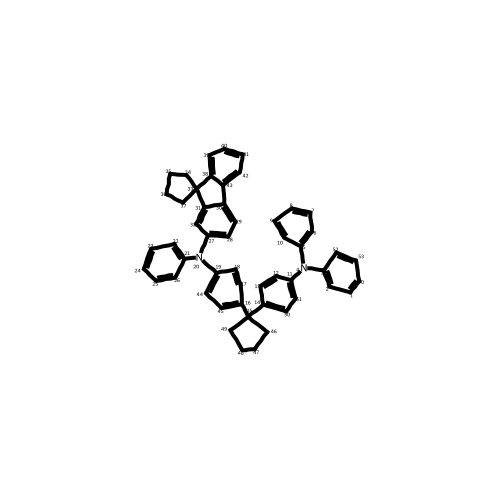 c1ccc(N(c2ccccc2)c2ccc(C3(c4ccc(N(c5ccccc5)c5ccc6c(c5)C5(CCCC5)c5ccccc5-6)cc4)CCCC3)cc2)cc1